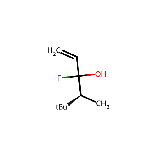 C=CC(O)(F)[C@@H](C)C(C)(C)C